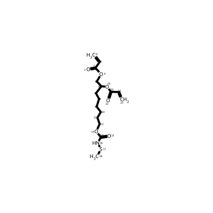 C=CC(=O)OCC(CCCCCCOC(=O)NSC)OC(=O)C=C